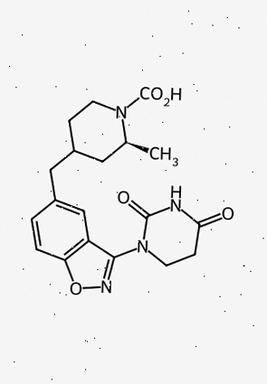 C[C@H]1CC(Cc2ccc3onc(N4CCC(=O)NC4=O)c3c2)CCN1C(=O)O